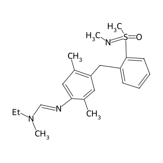 CCN(C)C=Nc1cc(C)c(Cc2ccccc2S(C)(=O)=NC)cc1C